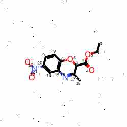 CCOC(=O)C1Oc2ccc([N+](=O)[O-])cc2N=C1C